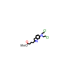 COC(=O)CCCC1=Nc2cc(N(CCCl)CCCl)ccc2C1